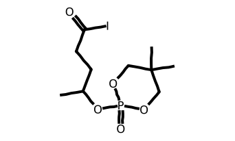 CC(CCC(=O)I)OP1(=O)OCC(C)(C)CO1